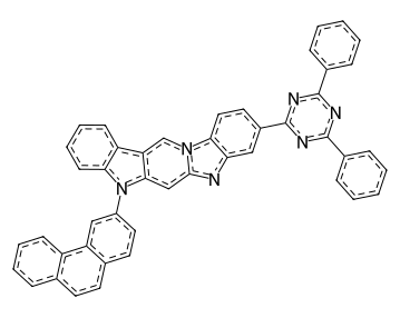 c1ccc(-c2nc(-c3ccccc3)nc(-c3ccc4c(c3)nc3cc5c(cn34)c3ccccc3n5-c3ccc4ccc5ccccc5c4c3)n2)cc1